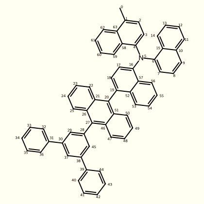 Cc1ccc(N(c2cccc3ccccc23)c2ccc(-c3c4ccccc4c(-c4cc(-c5ccccc5)cc(-c5ccccc5)c4)c4ccccc34)c3ccccc23)c2ccccc12